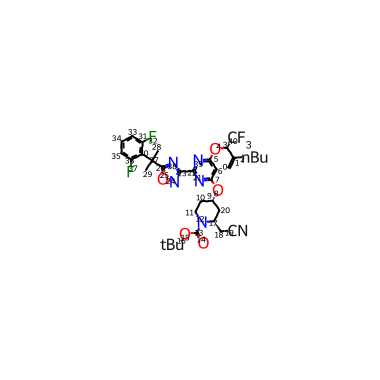 C=C(CCCC)[C@@H](Oc1cc(O[C@H]2CCN(C(=O)OC(C)(C)C)[C@H](CC#N)C2)nc(-c2noc(C(C)(C)c3c(F)cccc3F)n2)n1)C(F)(F)F